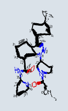 C=CC(=O)N1CCC(n2nc(-c3ccc(C(F)(F)F)cc3)c3cccc(C(=O)Nc4ccccn4)c32)C1